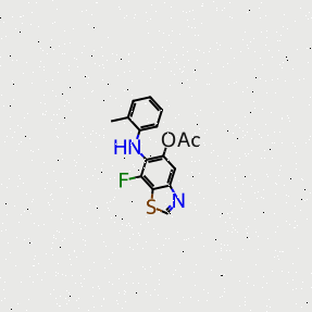 CC(=O)Oc1cc2ncsc2c(F)c1Nc1ccccc1C